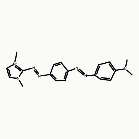 CN(C)c1ccc(/N=N/c2ccc(/N=N/c3n(C)cc[n+]3C)cc2)cc1